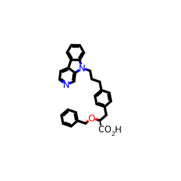 O=C(O)[C@H](Cc1ccc(CCCn2c3ccccc3c3ccncc32)cc1)OCc1ccccc1